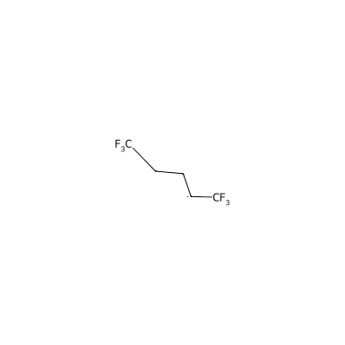 FC(F)(F)[CH]CCC(F)(F)F